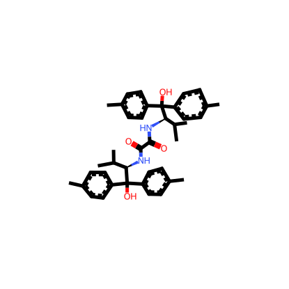 Cc1ccc(C(O)(c2ccc(C)cc2)[C@H](NC(=O)C(=O)N[C@H](C(C)C)C(O)(c2ccc(C)cc2)c2ccc(C)cc2)C(C)C)cc1